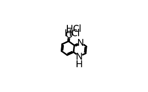 Cl.Cl.O=c1cccc2[nH]ccnc1-2